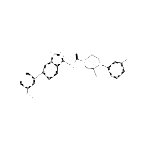 Cc1cccc(N2CCN(C(=O)Nc3n[nH]c4cc(-c5cccc(C#N)c5)ccc34)CC2C)c1